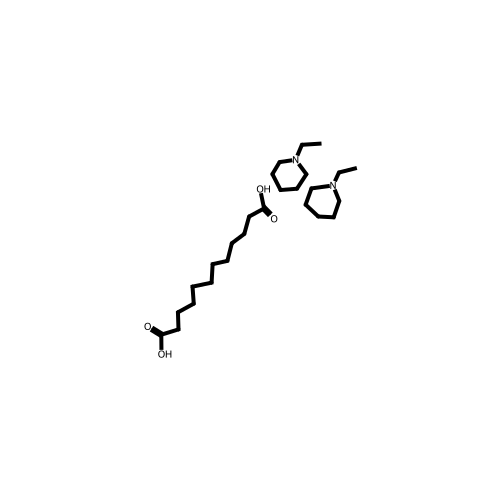 CCN1CCCCC1.CCN1CCCCC1.O=C(O)CCCCCCCCCCC(=O)O